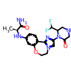 C[C@H](Nc1ccc2c(c1)OCCn1cc(N3C(=O)CNCC3C(F)F)nc1-2)C(N)=O